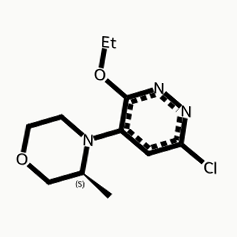 CCOc1nnc(Cl)cc1N1CCOC[C@@H]1C